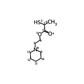 CC(S)C(=O)OCCN1CCCCC1